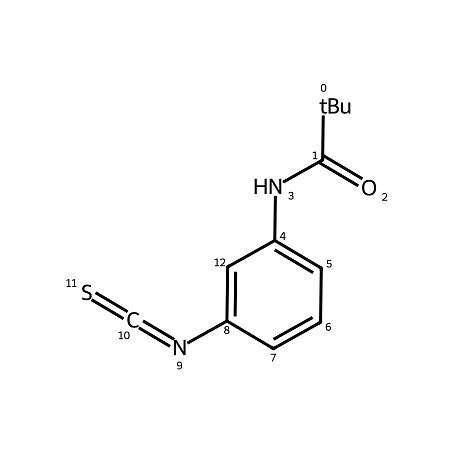 CC(C)(C)C(=O)Nc1cccc(N=C=S)c1